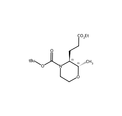 CCOC(=O)CC[C@H]1[C@H](C)OCCN1C(=O)OC(C)(C)C